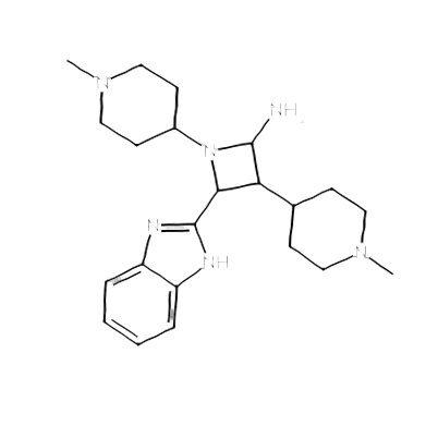 CN1CCC(C2C(N)N(C3CCN(C)CC3)C2c2nc3ccccc3[nH]2)CC1